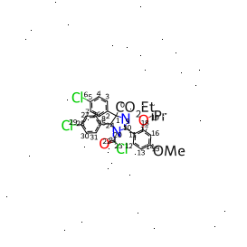 CCOC(=O)C1(c2ccc(Cl)cc2)N=C(c2ccc(OC)cc2OC(C)C)N(C(=O)Cl)C1c1ccc(Cl)cc1